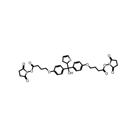 O=C(CCCOc1ccc(C(O)(c2ccc(OCCCC(=O)ON3C(=O)CCC3=O)cc2)C2CC=CS2)cc1)ON1C(=O)CCC1=O